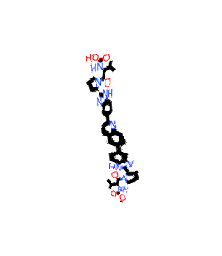 COC(=O)N[C@H](C(=O)N1CCCC1c1nc2cc(-c3ccc4nc(-c5ccc6[nH]c([C@@H]7CCCN7C(=O)[C@@H](NC(=O)O)C(C)C)nc6c5)ccc4c3)ccc2[nH]1)C(C)C